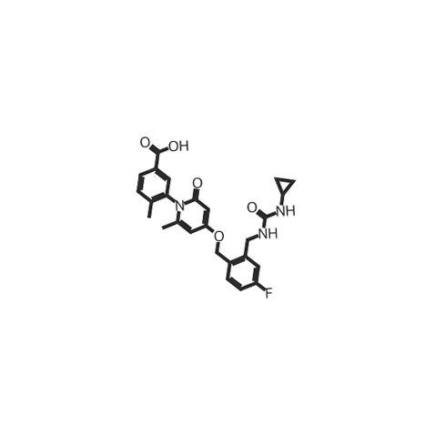 Cc1ccc(C(=O)O)cc1-n1c(C)cc(OCc2ccc(F)cc2CNC(=O)NC2CC2)cc1=O